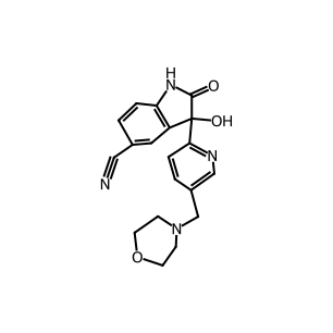 N#Cc1ccc2c(c1)C(O)(c1ccc(CN3CCOCC3)cn1)C(=O)N2